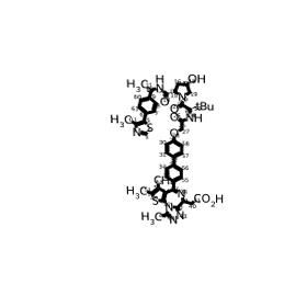 Cc1ncsc1-c1ccc([C@H](C)NC(=O)[C@@H]2C[C@@H](O)CN2C(=O)[C@@H](NC(=O)COc2ccc(-c3ccc(C4=NC(CC(=O)O)c5nnc(C)n5-c5sc(C)c(C)c54)cc3)cc2)C(C)(C)C)cc1